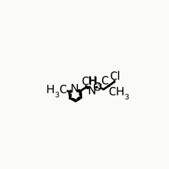 C/C(=N\OCC(C)(C)CCl)c1cccc(C)n1